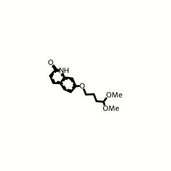 COC(CCCOc1ccc2ccc(=O)[nH]c2c1)OC